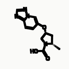 C[C@H]1C[C@@H](Oc2ccc3ncnn3c2)CN1C(=O)O